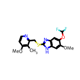 COc1cc2[nH]c(SCc3nccc(OC)c3C)nc2cc1OC(F)F